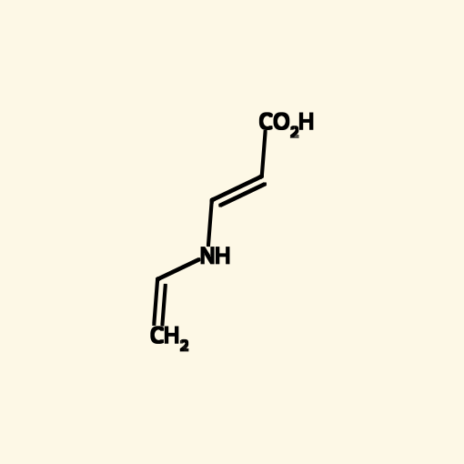 C=CNC=CC(=O)O